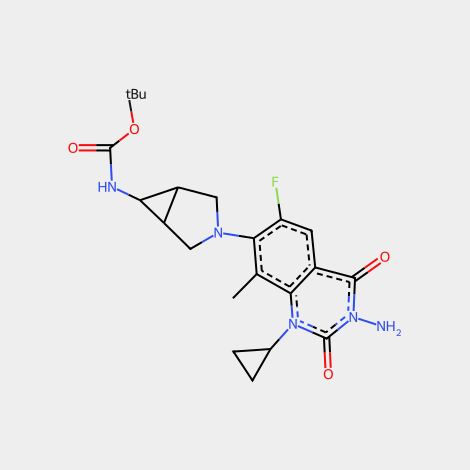 Cc1c(N2CC3C(C2)C3NC(=O)OC(C)(C)C)c(F)cc2c(=O)n(N)c(=O)n(C3CC3)c12